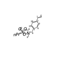 C=Cc1ccc(C[N+](C)(C)OS(=O)(=O)CCC)cc1